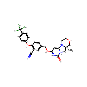 C[C@@]12COCCN1c1cc(OCc3ccc(Oc4ccc(C(F)(F)F)cc4)c(C#N)c3)nc(=O)n1C2